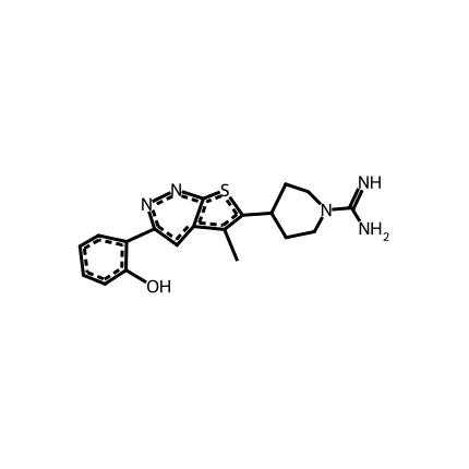 Cc1c(C2CCN(C(=N)N)CC2)sc2nnc(-c3ccccc3O)cc12